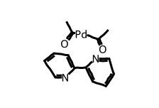 C[C](=O)[Pd][C](C)=O.c1ccc(-c2ccccn2)nc1